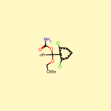 CCCC(OCOC)(OC(N)=O)c1c(Cl)cccc1Cl